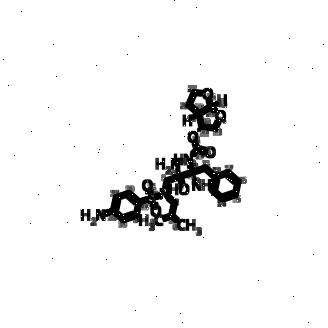 CC(C)CN(C[C@@](N)(O)[C@](N)(Cc1ccccc1)NC(=O)O[C@H]1CO[C@H]2OCC[C@H]21)S(=O)(=O)c1ccc(N)cc1